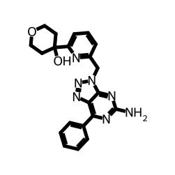 Nc1nc(-c2ccccc2)c2nnn(Cc3cccc(C4(O)CCOCC4)n3)c2n1